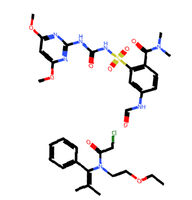 CCOCCN(C(=O)CCl)C(=C(C)C)c1ccccc1.COc1cc(OC)nc(NC(=O)NS(=O)(=O)c2cc(NC=O)ccc2C(=O)N(C)C)n1